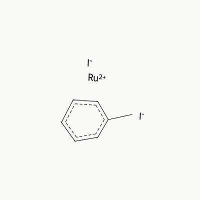 Cc1ccccc1.[I-].[I-].[Ru+2]